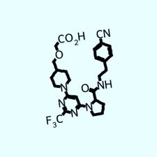 N#Cc1ccc(CCNC(=O)C2CCCN2c2cc(N3CCC(COCC(=O)O)CC3)nc(C(F)(F)F)n2)cc1